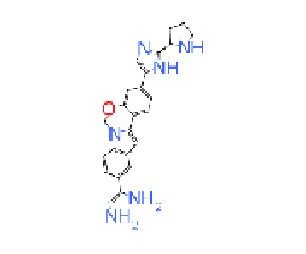 N/C=C(\N)c1ccc2c(c1)cc1n2COc2cc(-c3cnc([C@H]4CCCN4)[nH]3)ccc2-1